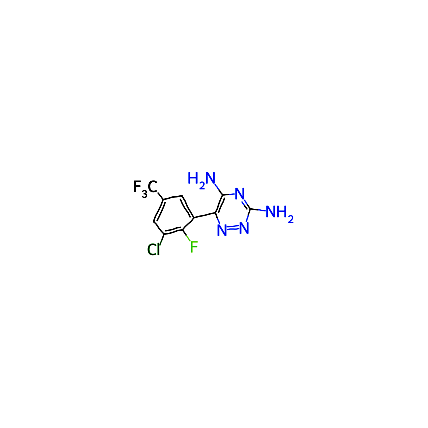 Nc1nnc(-c2cc(C(F)(F)F)cc(Cl)c2F)c(N)n1